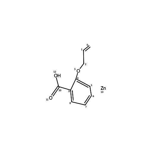 C=CCOc1ccccc1C(=O)O.[Zn]